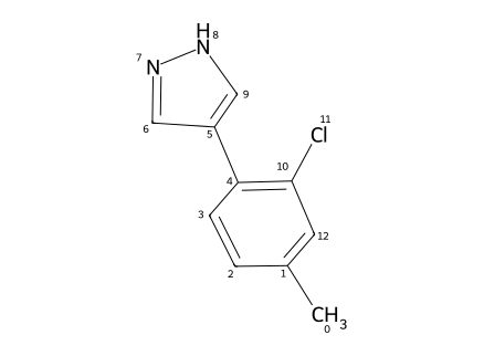 Cc1ccc(-c2cn[nH]c2)c(Cl)c1